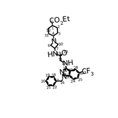 CCOC(=O)[C@H]1CC[C@@H](N2CC(NC(=O)CNc3nn(Cc4ccccc4)c4ccc(C(F)(F)F)cc34)C2)CC1